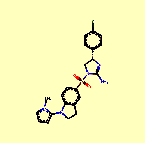 Cn1cccc1N1CCc2cc(S(=O)(=O)N3C[C@H](c4ccc(Cl)cc4)N=C3N)ccc21